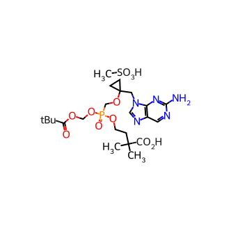 CC(C)(C)C(=O)OCOP(=O)(COC1(Cn2cnc3cnc(N)nc32)CC1)OCCC(C)(C)C(=O)O.CS(=O)(=O)O